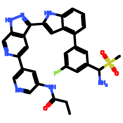 CCC(=O)Nc1cncc(-c2cc3c(-c4cc5c(-c6cc(F)cc(C(N)S(C)(=O)=O)c6)cccc5[nH]4)n[nH]c3cn2)c1